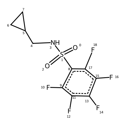 O=S(=O)(NCC1CC1)c1c(F)c(F)c(F)c(F)c1F